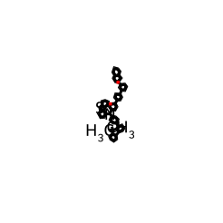 CC1(C)c2ccccc2-c2cccc(-c3ccc(N(c4ccc(-c5ccc(-c6cccc(-c7ccc8ccccc8c7)c6)cc5)cc4)c4cccc5sc6ccccc6c45)cc3)c21